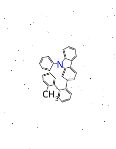 Cc1ccccc1-c1ccccc1-c1ccc2c3ccccc3n(-c3ccccc3)c2c1